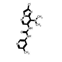 Cc1cncc(NC(=O)Nc2cnn3cc(Cl)nc3c2N(C)C)c1